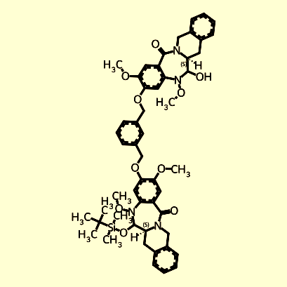 COc1cc2c(cc1OCc1cccc(COc3cc4c(cc3OC)C(=O)N3Cc5ccccc5C[C@H]3C(O[Si](C)(C)C(C)(C)C)N4OC)c1)N(OC)C(O)[C@@H]1Cc3ccccc3CN1C2=O